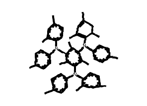 CC1=CC(C)=C(N(c2ccc(C)cc2)c2c(C)c(N(c3ccc(C)cc3)c3ccc(C)cc3C)c(C)c(N(c3ccc(C)cc3)c3ccc(C)cc3C)c2C)C(C)C1